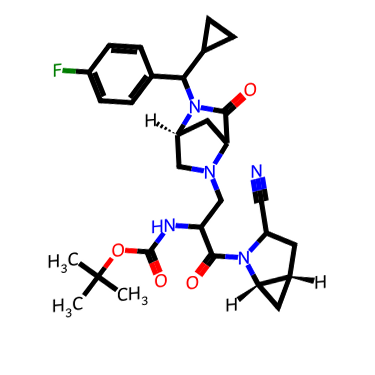 CC(C)(C)OC(=O)NC(CN1C[C@@H]2CC1C(=O)N2C(c1ccc(F)cc1)C1CC1)C(=O)N1C(C#N)C[C@@H]2C[C@@H]21